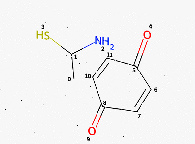 CC(N)S.O=C1C=CC(=O)C=C1